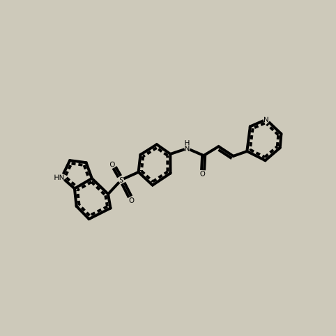 O=C(C=Cc1cccnc1)Nc1ccc(S(=O)(=O)c2cccc3[nH]ccc23)cc1